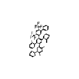 Cc1cc(C)c(-c2cc(-c3ccccc3C)c(-c3cc(-c4ccccc4)c(C(F)(F)F)cc3C(F)(F)F)cc2-c2ccccc2C)cc1-c1ccccc1